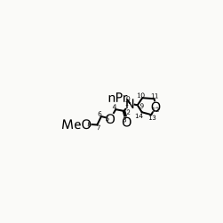 [CH2-][CH+]CN(C(=O)COCCOC)C1CCOCC1